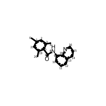 Cc1cc(C)c(C(=O)Nc2cccc3cccnc23)c(C)c1